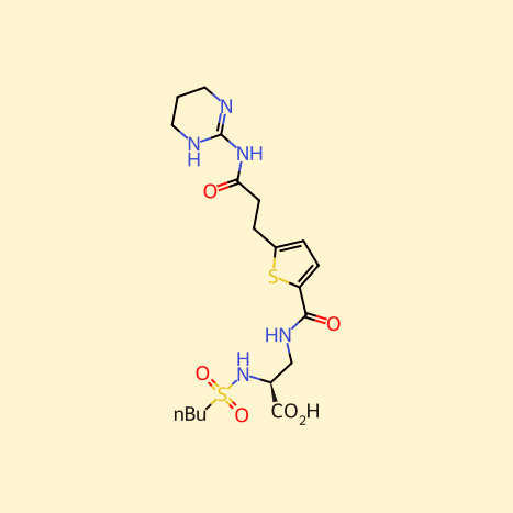 CCCCS(=O)(=O)N[C@@H](CNC(=O)c1ccc(CCC(=O)NC2=NCCCN2)s1)C(=O)O